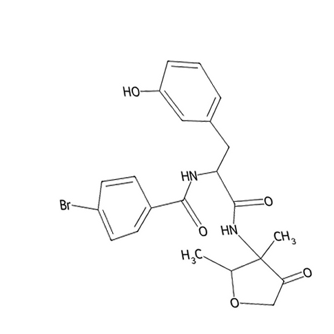 CC1OCC(=O)C1(C)NC(=O)C(Cc1cccc(O)c1)NC(=O)c1ccc(Br)cc1